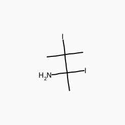 CC(C)(I)C(C)(N)I